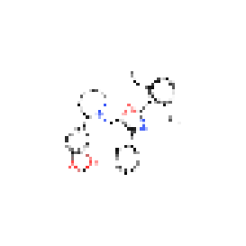 CCc1cccc(CC)c1-c1nc(-c2ccccc2)c(CN2CCCCC2c2ccc3c(c2)OCO3)o1